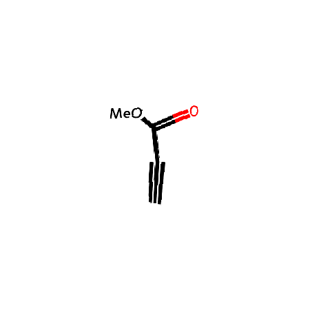 C#CC(=O)O[CH2]